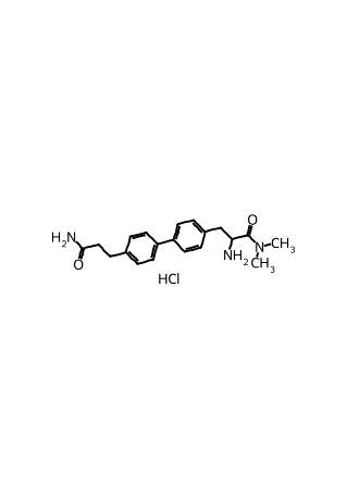 CN(C)C(=O)C(N)Cc1ccc(-c2ccc(CCC(N)=O)cc2)cc1.Cl